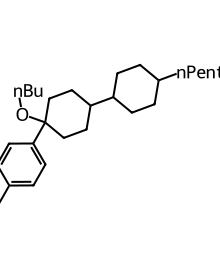 CCCCCC1CCC(C2CCC(OCCCC)(c3ccc(I)cc3)CC2)CC1